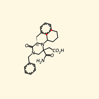 NC(=O)C1(CC(=O)O)CN(Cc2ccccc2)C(=O)[C@H](Cc2ccccc2)N1C1CCCCC1